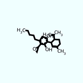 C=C(C)C1CCC(C)=CC1c1c(O)cc(CCCCC)c(C2CO2)c1O